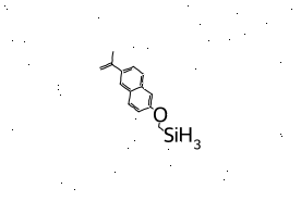 C=C(C)c1ccc2cc(OC[SiH3])ccc2c1